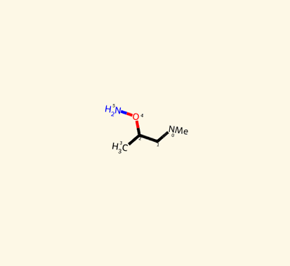 CNCC(C)ON